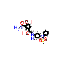 CS(=O)(=O)N(c1ccccc1)[C@H]1CC[C@@H](NCC(O)c2ccc(O)c(C(N)=O)c2)CC1